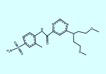 COCCN(CCOC)c1cc(C(=O)Nc2ccc(S(N)(=O)=O)cc2C)ncn1